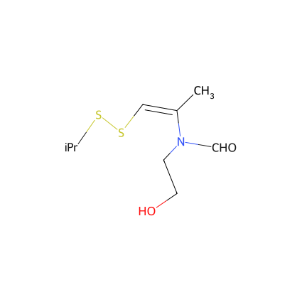 CC(=CSSC(C)C)N(C=O)CCO